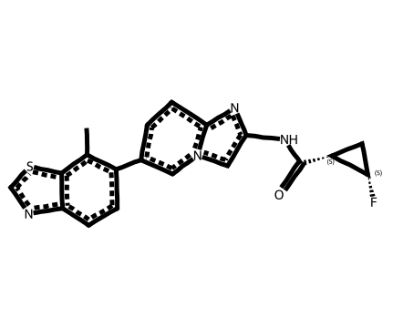 Cc1c(-c2ccc3nc(NC(=O)[C@@H]4C[C@@H]4F)cn3c2)ccc2ncsc12